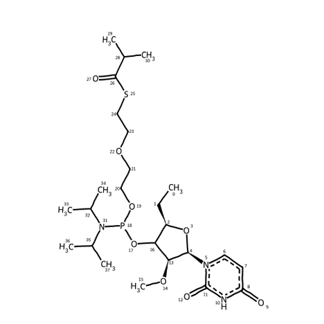 CC[C@H]1O[C@@H](n2ccc(=O)[nH]c2=O)[C@@H](OC)C1OP(OCCOCCSC(=O)C(C)C)N(C(C)C)C(C)C